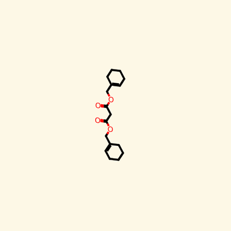 O=C(CC(=O)OCC1=CCCCC1)OCC1=CCCCC1